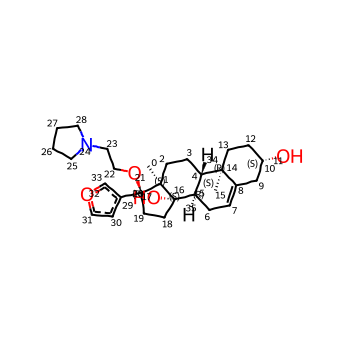 C[C@]12CC[C@H]3[C@@H](CC=C4C[C@@H](O)CC[C@@]43C)[C@@]1(O)CC[C@]2(OCCN1CCCC1)c1ccoc1